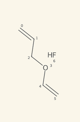 C=CCOC=C.F